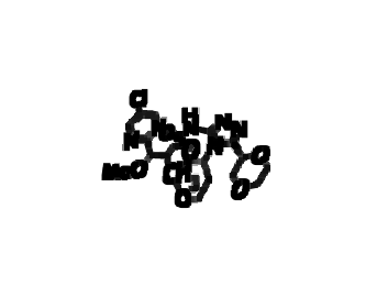 COC(c1ncc(Cl)cn1)C(C)S(=O)(=O)Nc1nnc([C@@H]2COCCO2)n1C1CCOCC1